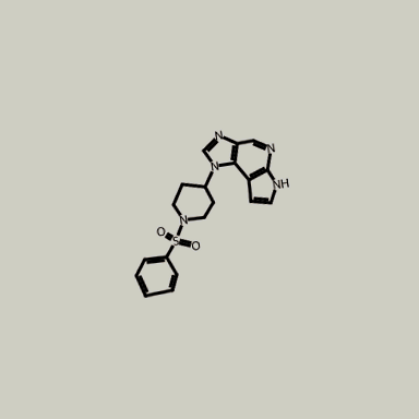 O=S(=O)(c1ccccc1)N1CCC(n2cnc3cnc4[nH]ccc4c32)CC1